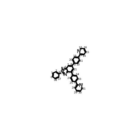 c1ccc(-n2nc3cc(-c4ccc(-c5ccccn5)cc4)cc(-c4ccc(-c5ccccn5)cc4)c3n2)cc1